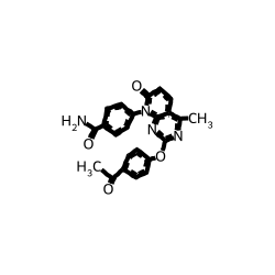 CC(=O)c1ccc(Oc2nc(C)c3ccc(=O)n(-c4ccc(C(N)=O)cc4)c3n2)cc1